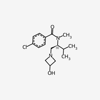 CC(C)[C@@H](CN1CC(O)C1)N(C)C(=O)c1ccc(Cl)cc1